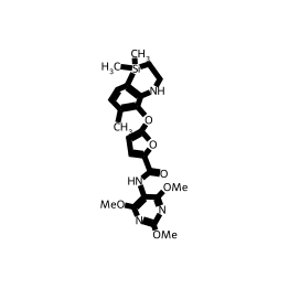 COc1nc(OC)c(NC(=O)c2ccc(Oc3c(C)ccc4c3NCC[Si]4(C)C)o2)c(OC)n1